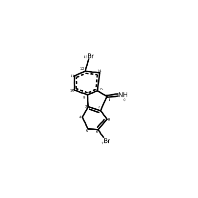 N=C1C2=C(CCC(Br)=C2)c2ccc(Br)cc21